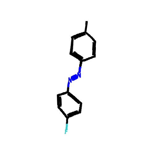 Cc1ccc(N=Nc2ccc(F)cc2)cc1